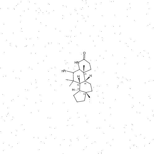 CCCC1C2NC(=O)CC[C@]2(C)[C@@H]2CC[C@]3(C)CCC[C@H]3[C@@H]2C1(C)C